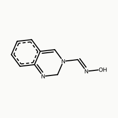 ON=CN1C=c2ccccc2=NC1